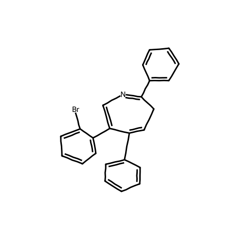 Brc1ccccc1C1=CN=C(c2ccccc2)CC=C1c1ccccc1